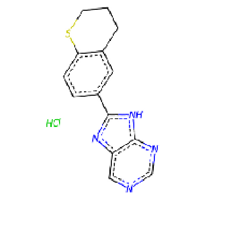 Cl.c1ncc2nc(-c3ccc4c(c3)CCCS4)[nH]c2n1